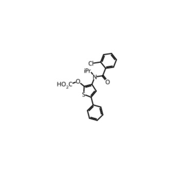 CC(C)N(C(=O)c1ccccc1Cl)c1cc(-c2ccccc2)sc1OC(=O)O